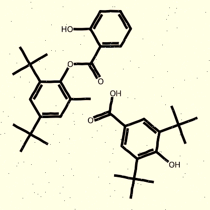 CC(C)(C)c1cc(C(=O)O)cc(C(C)(C)C)c1O.Cc1cc(C(C)(C)C)cc(C(C)(C)C)c1OC(=O)c1ccccc1O